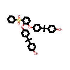 CC(C)(c1ccc(O)cc1)c1ccc(Oc2cccc(S(=O)(=O)c3ccccc3)c2Oc2ccc(C(C)(C)c3ccc(O)cc3)cc2)cc1